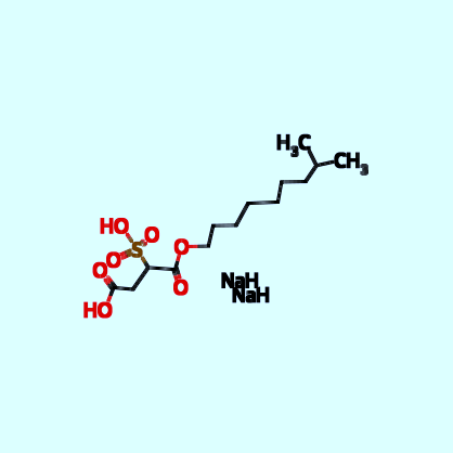 CC(C)CCCCCCCOC(=O)C(CC(=O)O)S(=O)(=O)O.[NaH].[NaH]